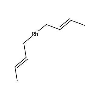 CC=C[CH2][Rh][CH2]C=CC